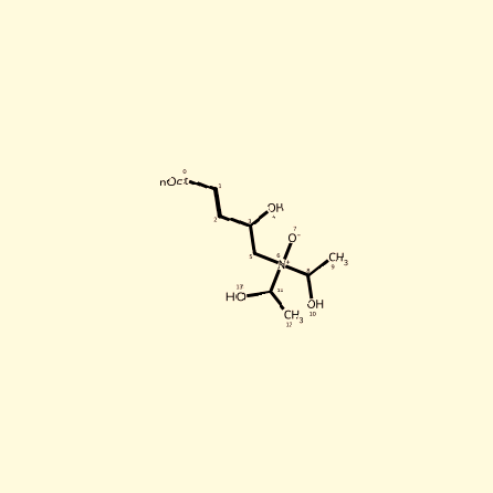 CCCCCCCCCCC(O)C[N+]([O-])(C(C)O)C(C)O